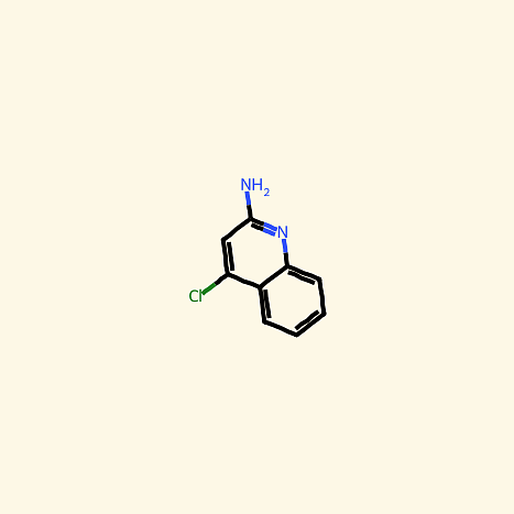 Nc1cc(Cl)c2ccccc2n1